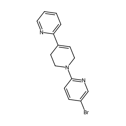 Brc1ccc(N2CC=C(c3ccccn3)CC2)nc1